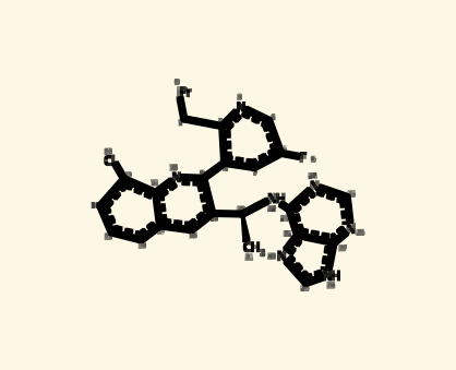 CC(C)Cc1ncc(F)cc1-c1nc2c(Cl)cccc2cc1[C@H](C)Nc1ncnc2[nH]cnc12